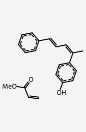 C=CC(=O)OC.CC(=CC=Cc1ccccc1)c1ccc(O)cc1